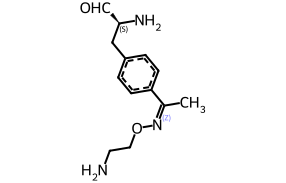 C/C(=N/OCCN)c1ccc(C[C@H](N)C=O)cc1